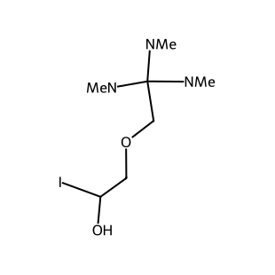 CNC(COCC(O)I)(NC)NC